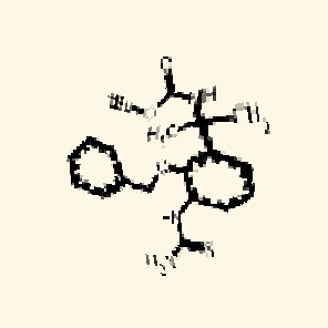 CC(C)(C)OC(=O)NC(C)(C)c1cccc(NC(N)=S)c1OCc1ccccc1